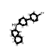 Fc1ccc(-c2ccc(Nc3ccc4ccccc4c3)cc2)cc1